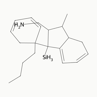 CCCCC1(C2([SiH3])C3=CC=CCC3C(C)C2CN)C=CC=CC1